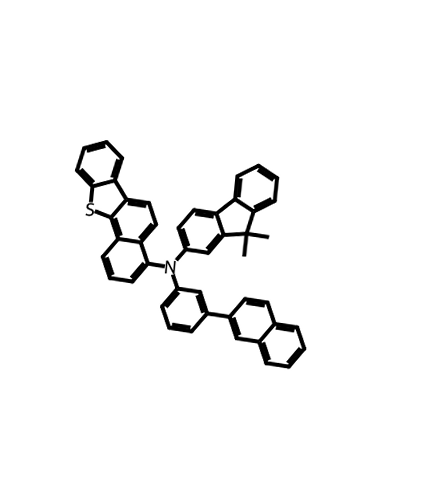 CC1(C)c2ccccc2-c2ccc(N(c3cccc(-c4ccc5ccccc5c4)c3)c3cccc4c3ccc3c5ccccc5sc43)cc21